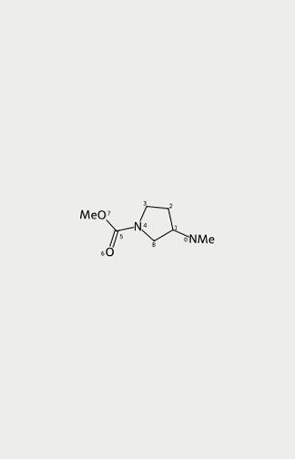 CNC1CCN(C(=O)OC)C1